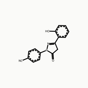 N#Cc1ccc(N2N=C(c3ccccc3O)CC2=O)cc1